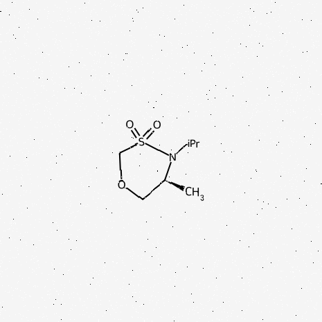 CC(C)N1[C@@H](C)COCS1(=O)=O